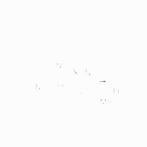 COC(=O)[C@H](CC(C)C)N(C(=O)[C@@H]1CCCCN1C(=O)CN)C1CCCCC1